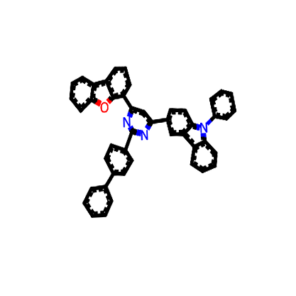 c1ccc(-c2ccc(-c3nc(-c4ccc5c(c4)c4ccccc4n5-c4ccccc4)cc(-c4cccc5c4oc4ccccc45)n3)cc2)cc1